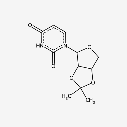 CC1(C)OC2COC(n3ccc(=O)[nH]c3=O)C2O1